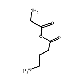 NCCCC(=O)OC(=O)CN